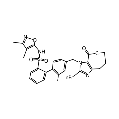 CCCc1nc2c(n1Cc1ccc(-c3ccccc3S(=O)(=O)Nc3onc(C)c3C)c(C)c1)C(=O)CCCC2